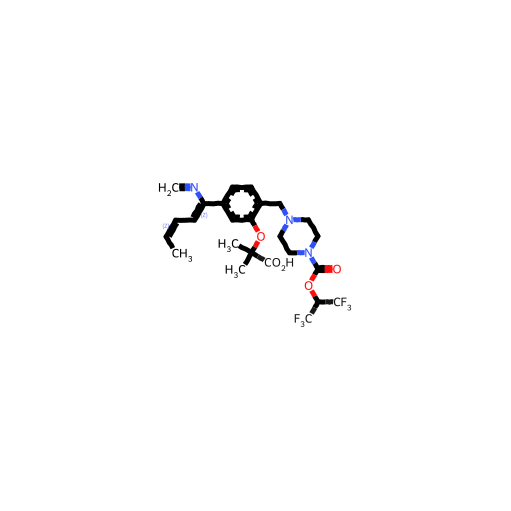 C=N/C(=C\C=C/C)c1ccc(CN2CCN(C(=O)OC(C(F)(F)F)C(F)(F)F)CC2)c(OC(C)(C)C(=O)O)c1